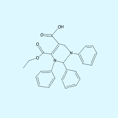 CCOC(=O)C1=C(C(=O)O)CN(c2ccccc2)C(c2ccccc2)N1c1ccccc1